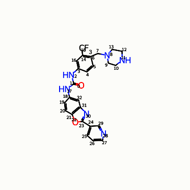 O=C(Nc1ccc(CN2CCNCC2)c(C(F)(F)F)c1)Nc1ccc2oc(-c3cccnc3)nc2c1